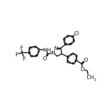 CCOC(=O)c1ccc(C2CN(C(=O)Nc3ccc(C(F)(F)F)cc3)N=C2c2ccc(Cl)cc2)cc1